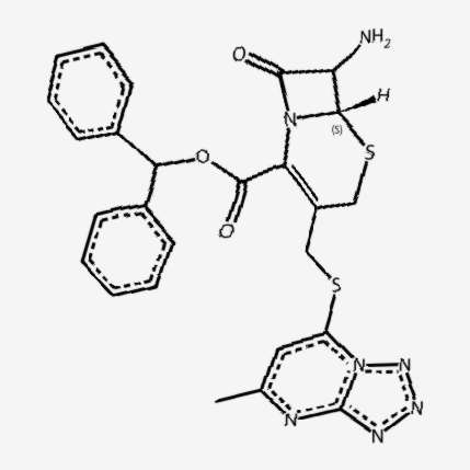 Cc1cc(SCC2=C(C(=O)OC(c3ccccc3)c3ccccc3)N3C(=O)C(N)[C@@H]3SC2)n2nnnc2n1